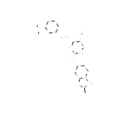 Cn1c(=O)[nH]c2ccc(Nc3ncc(C(F)(F)F)c(NCc4cccc(S(C)(=O)=O)c4)n3)cc21